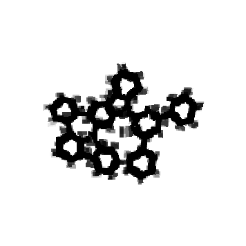 C1=C(c2ccccc2)NC(n2c3ccccc3c3cc4c(cc32)-n2c3ccccc3c3cccc(c32)-c2ccccc2-4)N=C1c1ccccc1